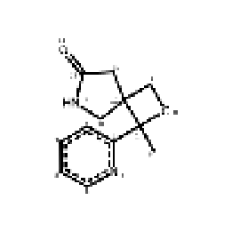 CC1(c2ccccn2)OCC12CNC(=O)C2